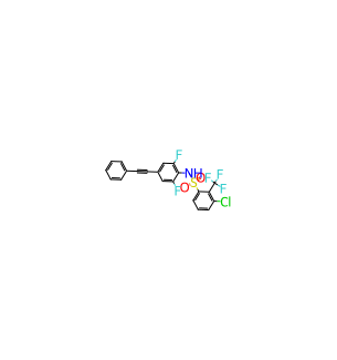 O=S(=O)(Nc1c(F)cc(C#Cc2ccccc2)cc1F)c1cccc(Cl)c1C(F)(F)F